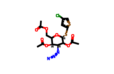 CC(=O)OCC1O[C@H](Sc2cc(Cl)cs2)C(OC(C)=O)[C@@H](N=[N+]=[N-])[C@H]1OC(C)=O